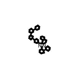 c1ccc(-c2cccc(-c3cccc(-c4ccc(-c5nc(-c6ccccc6-c6ccccc6)nc6ccc7ccccc7c56)cc4)c3)c2)cc1